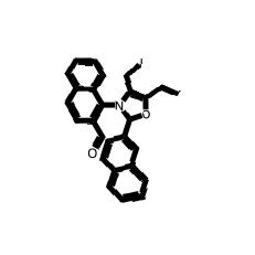 CCC1=C(CI)N(c2c(C=O)ccc3ccccc23)C(c2ccc3ccccc3c2)O1